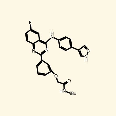 CCC(C)NC(=O)COc1cccc(-c2nc(Nc3ccc(-c4cn[nH]c4)cc3)c3cc(F)ccc3n2)c1